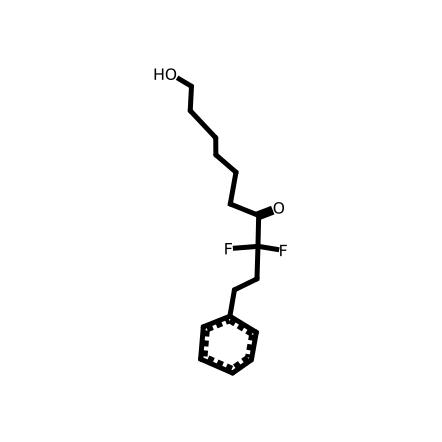 O=C(CCCCCCO)C(F)(F)CCc1ccccc1